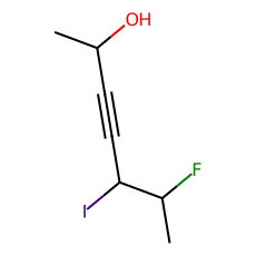 CC(O)C#CC(I)C(C)F